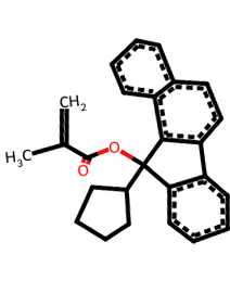 C=C(C)C(=O)OC1(C2CCCC2)c2ccccc2-c2ccc3ccccc3c21